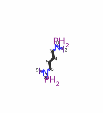 PN(I)CCCCN(P)I